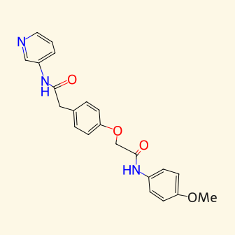 COc1ccc(NC(=O)COc2ccc(CC(=O)Nc3cccnc3)cc2)cc1